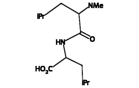 CNC(CC(C)C)C(=O)NC(CC(C)C)C(=O)O